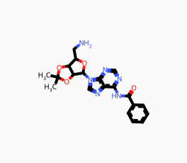 CC1(C)OC2C(CN)OC(n3cnc4c(NC(=O)c5ccccc5)ncnc43)C2O1